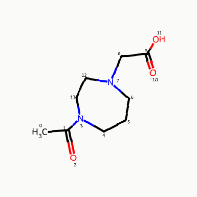 CC(=O)N1CCCN(CC(=O)O)CC1